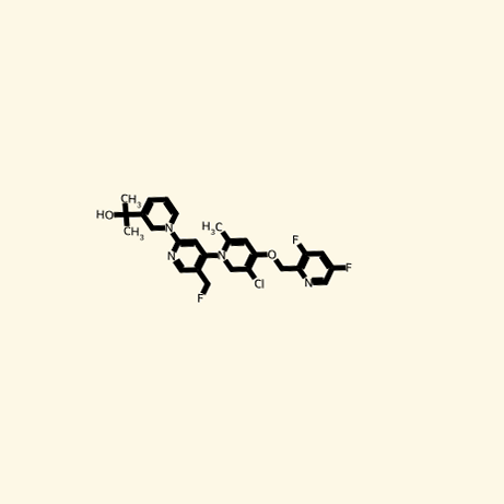 CC1=CC(OCc2ncc(F)cc2F)=C(Cl)CN1c1cc(N2C=CC=C(C(C)(C)O)C2)ncc1CF